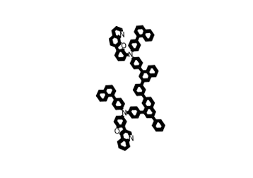 c1ccc(-c2cc(-c3ccc(N(c4ccc(-c5cccc6ccccc56)cc4)c4ccc5oc6c7ccccc7ncc6c5c4)cc3)c3cc(-c4cccc(-c5cc(-c6ccc(N(c7ccc(-c8cccc9ccccc89)cc7)c7cccc8c7oc7c8ccc8cccnc87)cc6)c6ccccc6c5)c4)ccc3c2)cc1